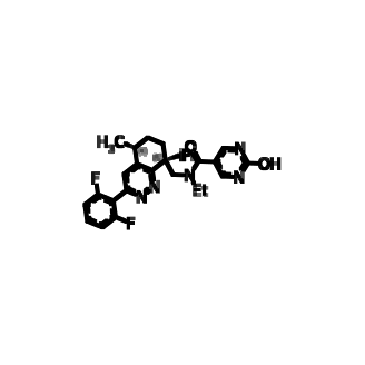 CCN(C[C@@]1(C(C)C)CC[C@H](C)c2cc(-c3c(F)cccc3F)nnc21)C(=O)c1cnc(O)nc1